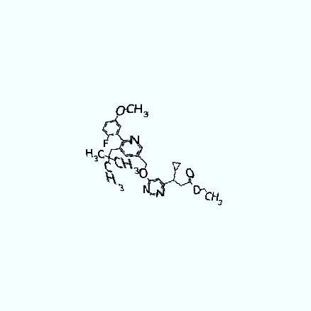 CCOC(=O)CC(c1cc(OCc2cnc(-c3cc(OC)ccc3F)c(CC(C)(C)C)c2)ncn1)C1CC1